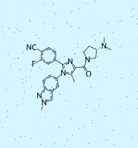 Cc1c(C(=O)N2CC[C@H](N(C)C)C2)nc(-c2ccc(C#N)c(F)c2)n1-c1ccc2nn(C)cc2c1